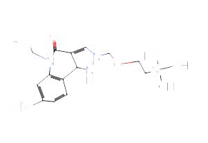 C[Si](C)(C)CCOCN1C=C2C(=O)N(CC(F)(F)F)c3cc(Br)ccc3C2N1